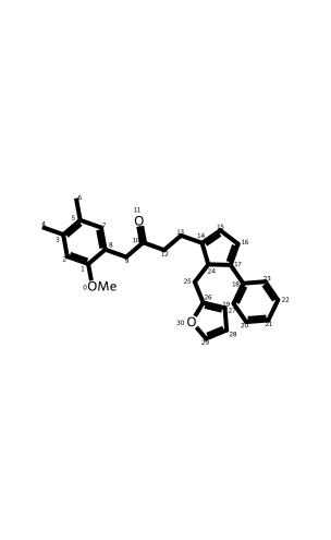 COc1cc(C)c(C)cc1CC(=O)CCC1=CC=C(c2ccccc2)C1Cc1ccco1